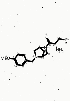 COc1ccc(CN2CC3CC2CN3C(=O)[C@@H](N)CC(C)C)cc1